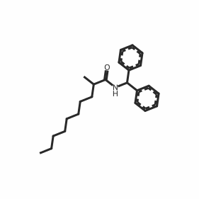 CCCCCCCCC(C)C(=O)NC(c1ccccc1)c1ccccc1